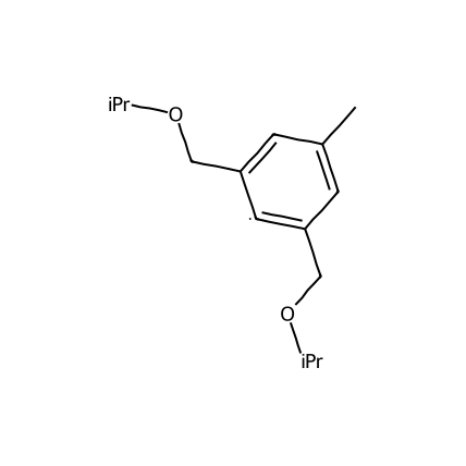 Cc1cc(COC(C)C)[c]c(COC(C)C)c1